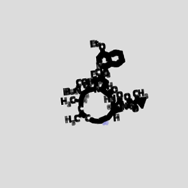 CCOc1cnc(O[C@]2(C)C[C@H]3C(=O)N[C@]4(C(=O)NS(=O)(=O)C5(C)CC5)C[C@H]4/C=C\CC[C@@H](C)C[C@@H](C)[C@H](N(C(=O)O)C(C)CC)C(=O)N3C2(F)F)c2ccccc12